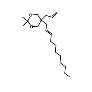 C=CCC1(CC=CCCCCCCCC)COC(C)(C)OC1